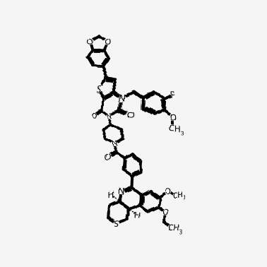 CCOc1cc2c(cc1OC)C(c1cccc(C(=O)N3CCC(n4c(=O)c5sc(-c6ccc7c(c6)OCO7)cc5n(Cc5ccc(OC)c(F)c5)c4=O)CC3)c1)=N[C@@H]1CCSC[C@H]21